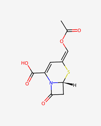 CC(=O)O/C=C1\C=C(C(=O)O)N2C(=O)C[C@H]2S1